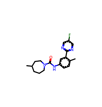 Cc1ccc(NC(=O)N2CCCC(C)CC2)cc1-c1ncc(F)cn1